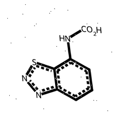 O=C(O)Nc1cccc2nnsc12